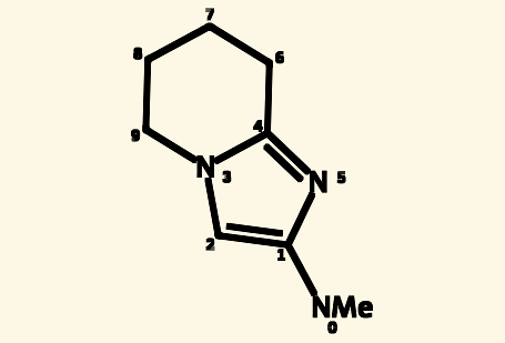 CNc1cn2c(n1)CCCC2